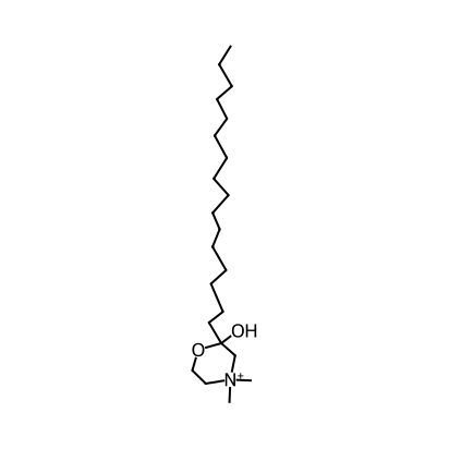 CCCCCCCCCCCCCCCCC1(O)C[N+](C)(C)CCO1